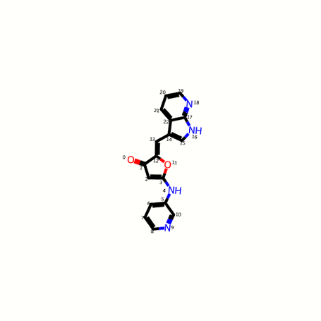 O=C1C=C(Nc2cccnc2)OC1=Cc1c[nH]c2ncccc12